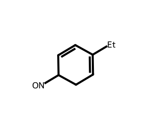 CCC1=CCC(N=O)C=C1